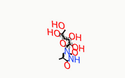 Cc1cn([C@@H]2O[C@H]([C@H](O)CO)[C@@H](O)[C@H]2O)c(=O)[nH]c1=O